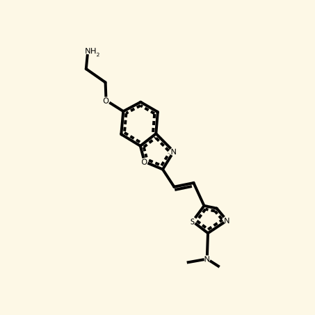 CN(C)c1ncc(/C=C/c2nc3ccc(OCCN)cc3o2)s1